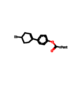 CCCCCC(=O)Oc1ccc(C2=CCC(CC)CC2)cc1